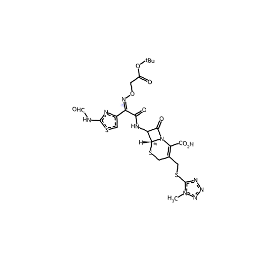 Cn1nnnc1SCC1=C(C(=O)O)N2C(=O)C(NC(=O)/C(=N\OCC(=O)OC(C)(C)C)c3csc(NC=O)n3)[C@H]2SC1